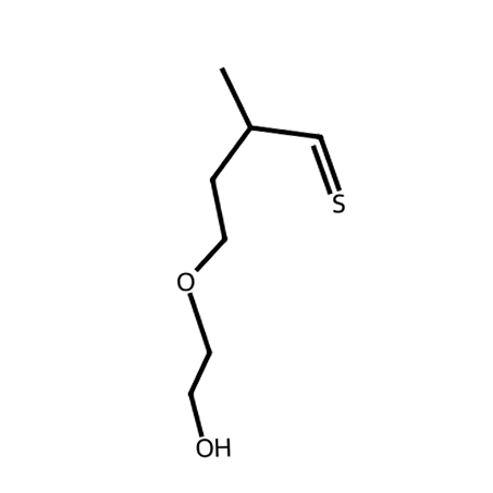 CC(C=S)CCOCCO